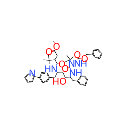 COC(=O)CC(C(=O)NC(Cc1ccc(-c2ccccn2)cc1)CC(O)C(Cc1ccccc1)NC(=O)N(NC(=O)OCc1ccccc1)C(C)(C)C)C(C)(C)C